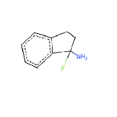 NC1(F)CCc2ccccc21